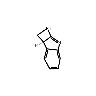 c1ccc2c(c1)N=C1NC[C@@H]12